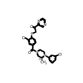 C[C@H]1CN(C(=O)c2ccc(SCC(=O)c3cnccn3)c(Cl)c2)CCN1c1cccc(Cl)c1